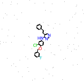 Fc1cccc(COc2ccc(Nc3ncncc3C=Cc3ccccc3)cc2Cl)c1